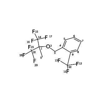 CC(OCc1ccccc1C(F)(F)F)(C(F)(F)F)C(F)(F)F